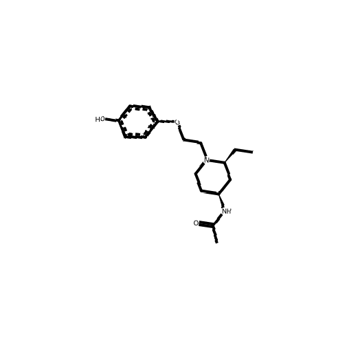 CC[C@H]1C[C@@H](NC(C)=O)CCN1CCOc1ccc(O)cc1